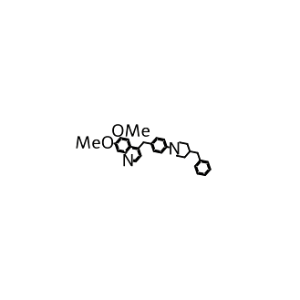 COc1cc2nccc(Cc3ccc(N4CCC(Cc5ccccc5)CC4)cc3)c2cc1OC